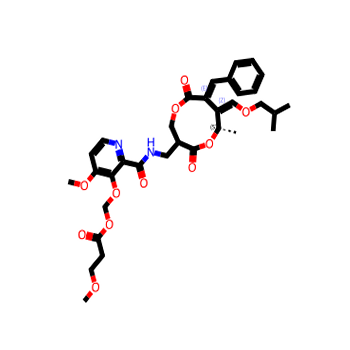 COCCC(=O)OCOc1c(OC)ccnc1C(=O)NCC1COC(=O)C(=C/c2ccccc2)/C(=C/OCC(C)C)[C@H](C)OC1=O